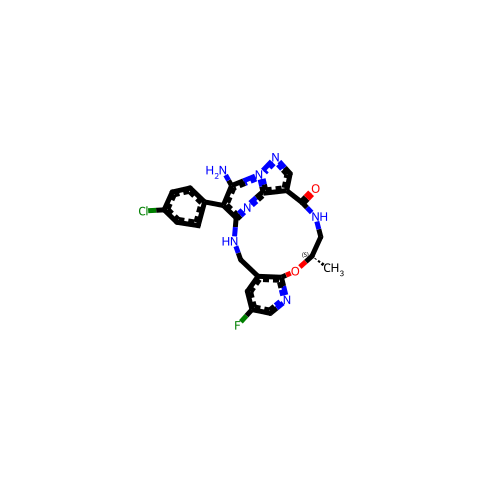 C[C@H]1CNC(=O)c2cnn3c(N)c(-c4ccc(Cl)cc4)c(nc23)NCc2cc(F)cnc2O1